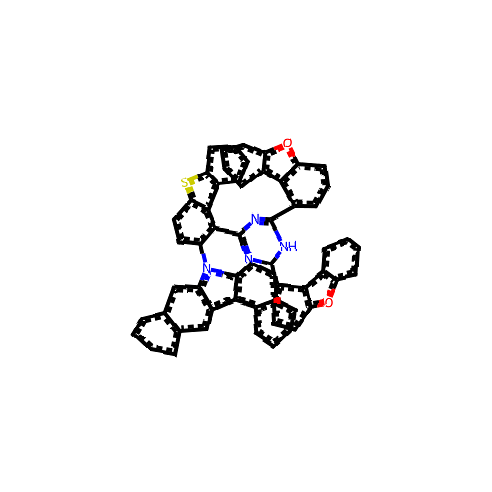 c1ccc2cc3c(cc2c1)c1c2ccccc2ccc1n3-c1ccc2sc3ccccc3c2c1C1=NC(c2cccc3oc4ccccc4c23)NC(c2cccc3oc4ccccc4c23)=N1